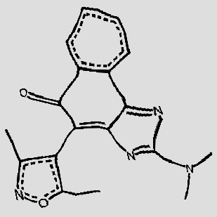 Cc1noc(C)c1C1=C2N=C(N(C)C)N=C2c2ccccc2C1=O